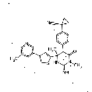 Cc1cncc(C2C=C([C@@]3(C)NC(=N)N(C)C(=O)[C@@H]3c3ccc(C4(C#N)CC4)cc3)SC2)c1